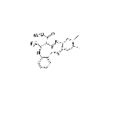 COC(=O)C1C(C(F)(F)F)=Nc2ccccc2-c2nc3cc(C)c(C)cc3nc21